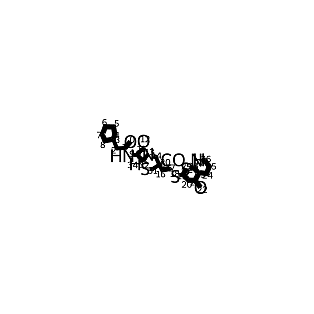 O=C(Cc1ccccc1)NC1C(=O)N2CC(C=CSc3cc(=O)c4cccnc4s3)(C(=O)O)CS[C@H]12